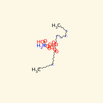 CCCCC/C=C\C/C=C\C/C=C\C/C=C\CCCC(=O)OC(COC(=O)CCCCCCC/C=C\CCCCCCCC)COP(=O)(O)OCC(N)C(=O)O